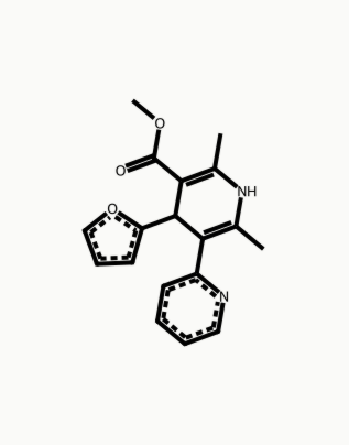 COC(=O)C1=C(C)NC(C)=C(c2ccccn2)C1c1ccco1